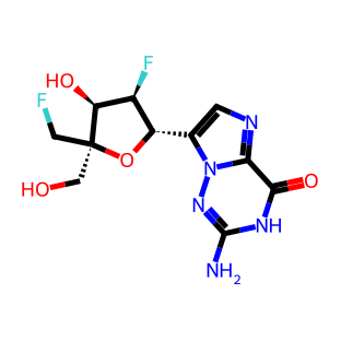 Nc1nn2c([C@@H]3O[C@@](CO)(CF)[C@@H](O)[C@H]3F)cnc2c(=O)[nH]1